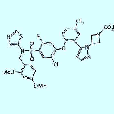 COc1ccc(CN(c2nncs2)S(=O)(=O)c2cc(Cl)c(Oc3ccc(C(F)(F)F)cc3-c3ccnn3C3CN(C(=O)O)C3)cc2F)c(OC)c1